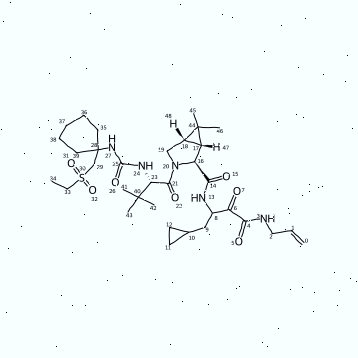 C=CCNC(=O)C(=O)C(CC1CC1)NC(=O)[C@@H]1[C@@H]2[C@H](CN1C(=O)[C@@H](NC(=O)NC1(CS(=O)(=O)CC)CCCCC1)C(C)(C)C)C2(C)C